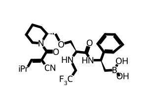 CC(C)C=C(C#N)C(=O)N1CCCC[C@@H]1COC[C@H](NCC(F)(F)F)C(=O)N[C@H](CB(O)O)c1ccccc1